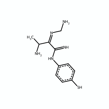 CC(N)/C(=N/CN)C(=N)Nc1ccc(S)cc1